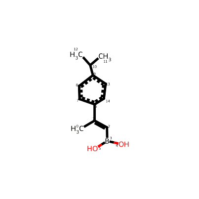 CC(=CB(O)O)c1ccc(C(C)C)cc1